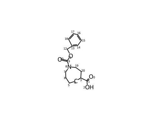 O=C(O)C1CCCCN(C(=O)OCc2ccccc2)CC1